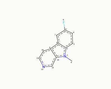 Cn1c2ccc(F)cc2c2ccncc21